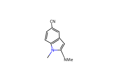 CNc1cc2cc(C#N)ccc2n1C